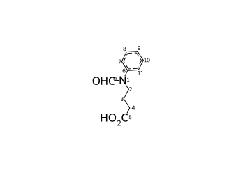 O=CN(CCCC(=O)O)c1ccccc1